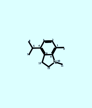 Cc1ccc(C(C)C)c2c1N(C)CC2